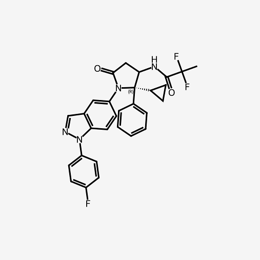 CC(F)(F)C(=O)NC1CC(=O)N(c2ccc3c(cnn3-c3ccc(F)cc3)c2)[C@@]1(c1ccccc1)C1CC1